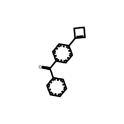 O=C(c1ccccc1)c1ccc(C2=CCC2)cc1